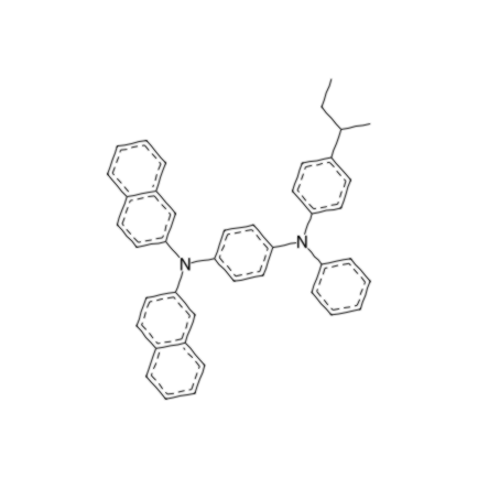 CCC(C)c1ccc(N(c2ccccc2)c2ccc(N(c3ccc4ccccc4c3)c3ccc4ccccc4c3)cc2)cc1